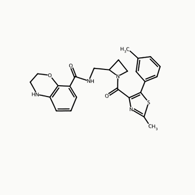 Cc1cccc(-c2sc(C)nc2C(=O)N2CCC2CNC(=O)c2cccc3c2OCCN3)c1